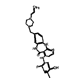 Cc1cc(F)c(Nc2ccnc3c2C(=O)Nc2cc(CN4CCN(CCO)CC4)ccc2N3)cc1O